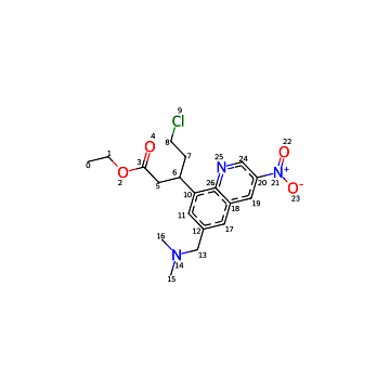 CCOC(=O)CC(CCCl)c1cc(CN(C)C)cc2cc([N+](=O)[O-])cnc12